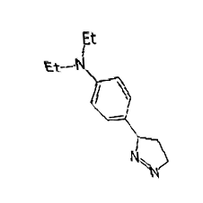 CCN(CC)c1ccc(C2CCN=N2)cc1